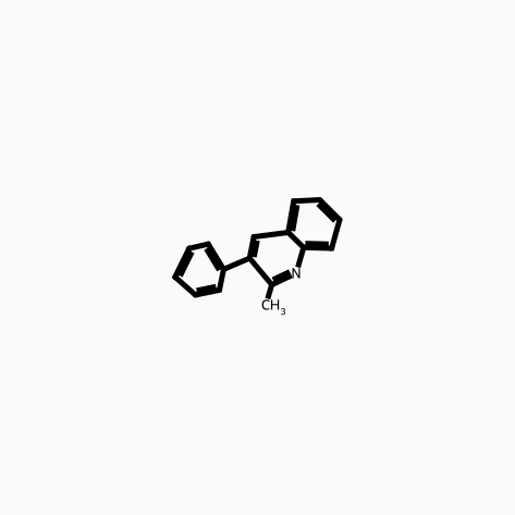 Cc1nc2ccccc2cc1-c1ccccc1